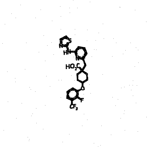 O=C(O)C1(Cc2cccc(Nc3nccs3)n2)CCC(Oc2cccc(C(F)(F)F)c2F)CC1